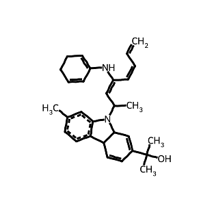 C=C/C=C\C(=C/C(C)N1c2cc(C)ccc2C2C=CC(C(C)(C)O)=CC21)NC1=CCCC=C1